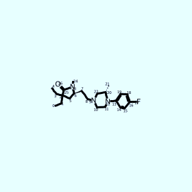 CCC1(CC)C[C@H](CCN2CCN(c3ccc(F)cc3)[C@@H](C)C2)N(C)C1=O